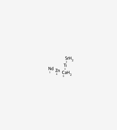 [CaH2].[Nd].[SrH2].[Ti].[Zn]